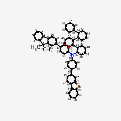 CC1(C)c2ccccc2-c2ccc(-c3ccc(N(c4ccc(-c5ccc6c(c5)sc5ccccc56)cc4)c4ccccc4-c4ccccc4-c4ccccc4-c4ccccc4)cc3)cc21